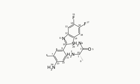 C[C@H](N)C(N)=O.Cc1cc(-c2nc3cc(F)c(F)cc3s2)ccc1N